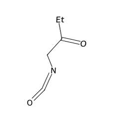 CCC(=O)CN=C=O